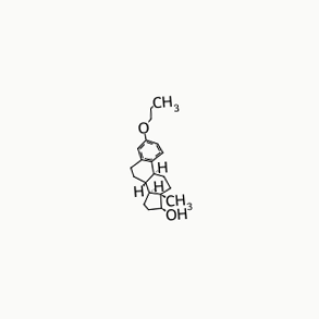 CCCOc1ccc2c(c1)CC[C@@H]1[C@@H]2CC[C@]2(C)[C@@H](O)CC[C@@H]12